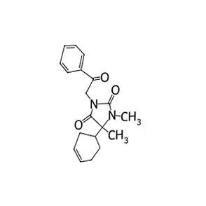 CN1C(=O)N(CC(=O)c2ccccc2)C(=O)C1(C)C1CC=CCC1